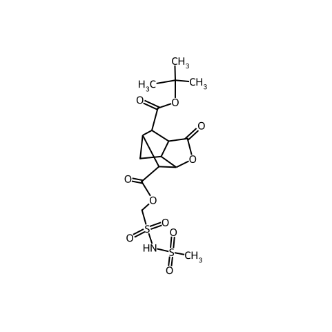 CC(C)(C)OC(=O)C1C2CC3C(OC(=O)C31)C2C(=O)OCS(=O)(=O)NS(C)(=O)=O